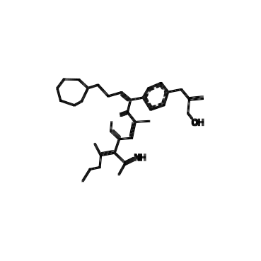 C=C(CO)Cc1ccc(/C(=C/CCC2CCCCCC2)C(=C)\C(C)=C/C(=C\C)C(/C(C)=N)=C(\C)CCC)cc1